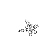 CC(O)(Cn1cncn1)c1ccc(Oc2ccc(Cl)cc2)cc1C(F)(F)F.CNC(=O)/C(=N/OC)c1ccccc1Oc1ccccc1